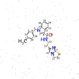 Cc1ccc(Cn2cc(C(=O)NCCc3cn4c(n3)SCC4)c3ccccc32)cc1